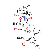 CNC(=O)c1cc(-c2cccc(CN3O[C@@H](CO)[C@H]([C@H](C)O)[C@H]3C(=O)N[C@H]3C[C@H]4C[C@@H]([C@@H]3C)C4(C)C)c2OC)cc(C(F)(F)F)c1